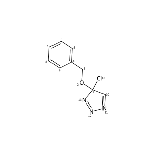 ClC1(OCc2ccccc2)C=NN=N1